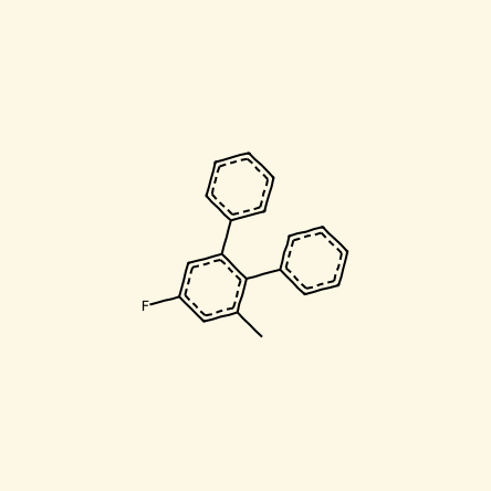 Cc1cc(F)cc(-c2ccccc2)c1-c1ccccc1